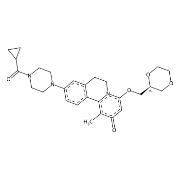 Cc1c2n(c(OC[C@@H]3COCCO3)cc1=O)CCc1cc(N3CCN(C(=O)C4CC4)CC3)ccc1-2